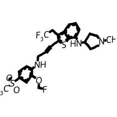 CN1CCC(Nc2cccc3c(CC(F)(F)F)c(C#CCNc4ccc(S(C)(=O)=O)cc4OCF)sc23)CC1